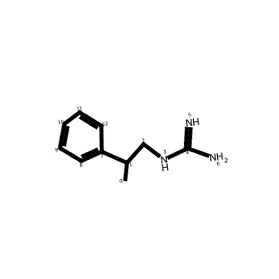 CC(CNC(=N)N)c1ccccc1